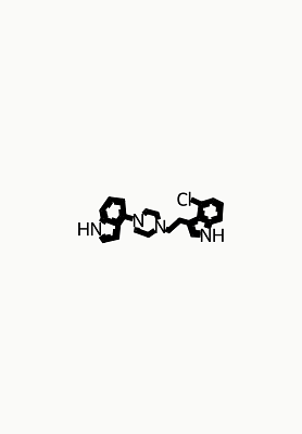 Clc1cccc2[nH]cc(CCN3CCN(c4cccc5[nH]ccc45)CC3)c12